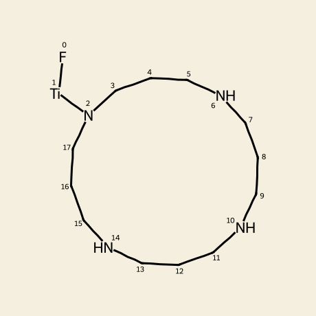 [F][Ti][N]1CCCNCCCNCCCNCCC1